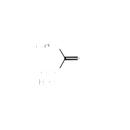 C=C(C)C(=O)[O-].O.[Cu+]